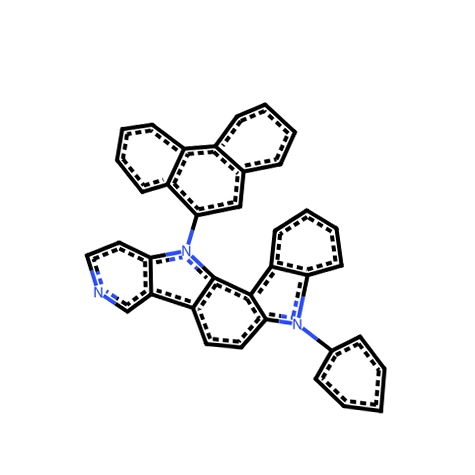 c1ccc(-n2c3ccccc3c3c2ccc2c4cnccc4n(-c4cc5ccccc5c5ccccc45)c23)cc1